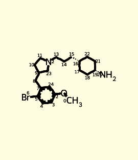 COc1ccc(Br)c(CC2CCN(CCC[C@H]3CC[C@@H](N)CC3)C2)c1